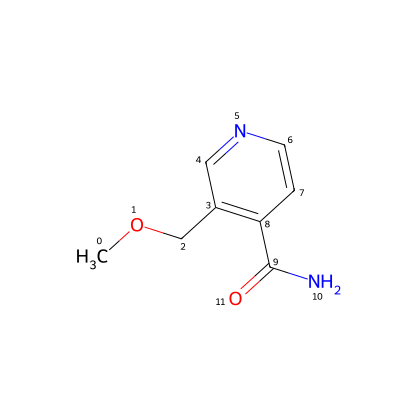 COCc1cnccc1C(N)=O